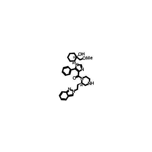 COC[C@]1(O)CCCC[C@H]1n1cnc(C(=O)N2CCNC[C@H]2CCn2cc3ccccc3n2)c1-c1ccccc1